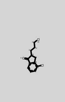 O=C1c2cccc(Cl)c2CC1CCCCl